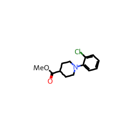 COC(=O)C1CCN(c2ccccc2Cl)CC1